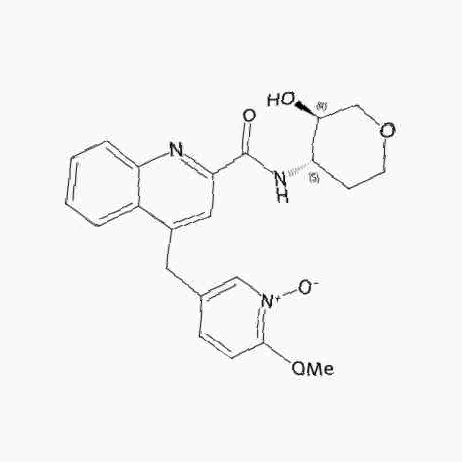 COc1ccc(Cc2cc(C(=O)N[C@H]3CCOC[C@@H]3O)nc3ccccc23)c[n+]1[O-]